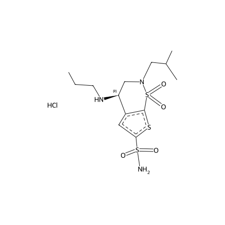 CCCN[C@H]1CN(CC(C)C)S(=O)(=O)c2sc(S(N)(=O)=O)cc21.Cl